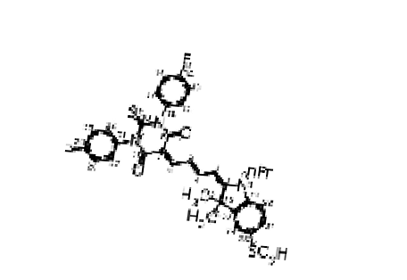 CCCN1/C(=C/C=C/C=C2C(=O)N(c3ccc(F)cc3)C(=S)N(c3ccc(F)cc3)C2=O)C(C)(C)c2cc(S(=O)(=O)O)ccc21